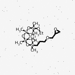 CCO[Si](C)(C)O[Si](C)(C)O[Si](C)(C)O[Si](C)(C)CCCOCC1CO1